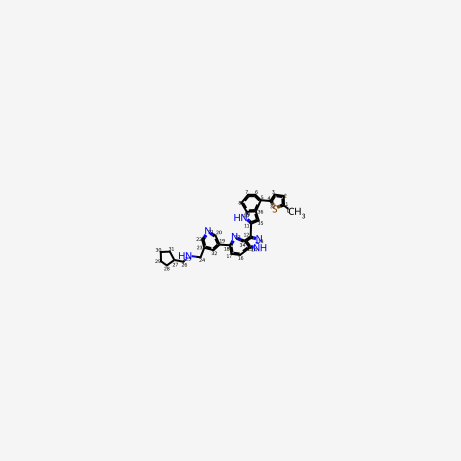 Cc1ccc(-c2cccc3[nH]c(-c4n[nH]c5ccc(-c6cncc(CNCC7CCCC7)c6)nc45)cc23)s1